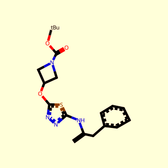 C=C(Cc1ccccc1)Nc1nnc(OC2CN(C(=O)OC(C)(C)C)C2)s1